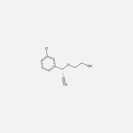 C#C[C@@H](OCCO)c1cccc(Cl)c1